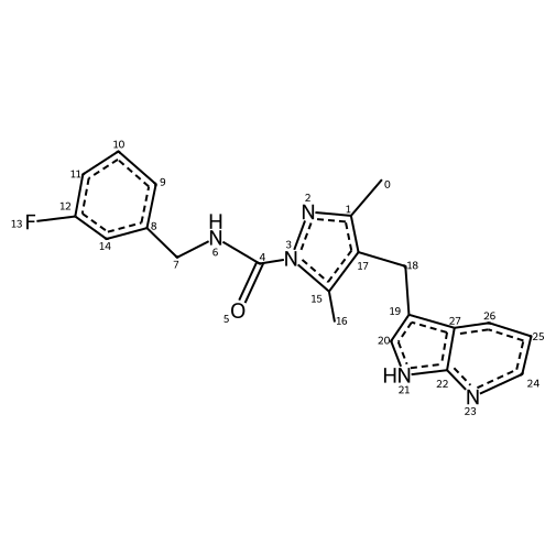 Cc1nn(C(=O)NCc2cccc(F)c2)c(C)c1Cc1c[nH]c2ncccc12